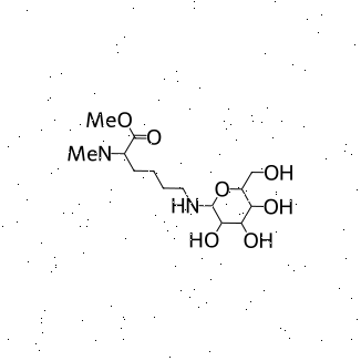 CNC(CCCCNC1OC(CO)C(O)C(O)C1O)C(=O)OC